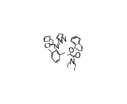 CCN(CC)C(=O)C(C)Oc1cccc2ccccc12.Cc1cccc(C)c1N(Cn1cccn1)C(=O)CCl